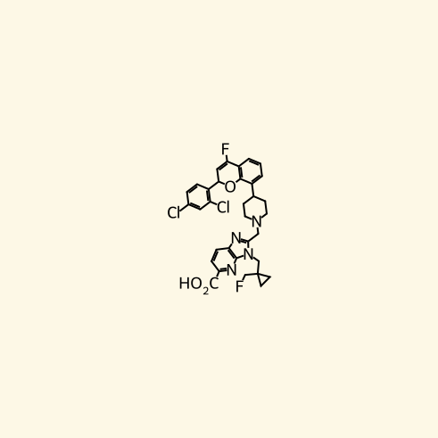 O=C(O)c1ccc2nc(CN3CCC(c4cccc5c4OC(c4ccc(Cl)cc4Cl)C=C5F)CC3)n(CC3(CF)CC3)c2n1